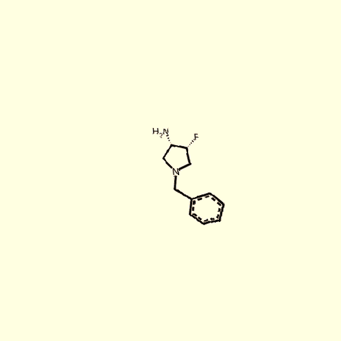 N[C@H]1CN(Cc2ccccc2)C[C@H]1F